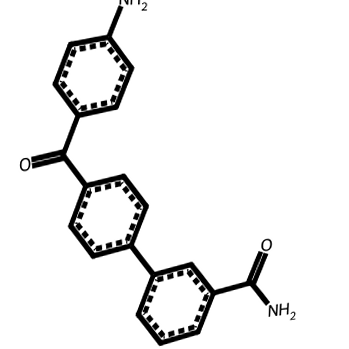 NC(=O)c1cccc(-c2ccc(C(=O)c3ccc(N)cc3)cc2)c1